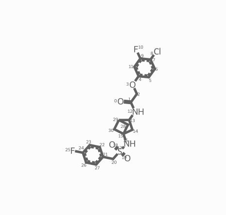 O=C(COc1ccc(Cl)c(F)c1)NC1CC2(NS(=O)(=O)Cc3ccc(F)cc3)CC1C2